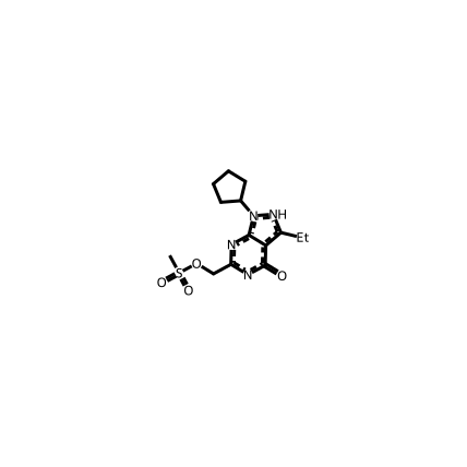 CCc1[nH]n(C2CCCC2)c2nc(COS(C)(=O)=O)nc(=O)c1-2